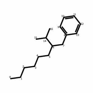 CCCCCCC(Cc1ccccc1)[C](C)C